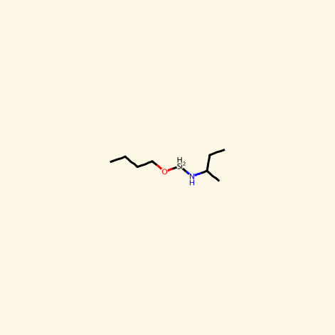 CCCCO[SiH2]NC(C)CC